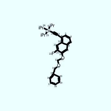 CC(C)[Si](C#Cc1cccc2cc(OCOCc3ccccc3)c(F)[c]c12)(C(C)C)C(C)C